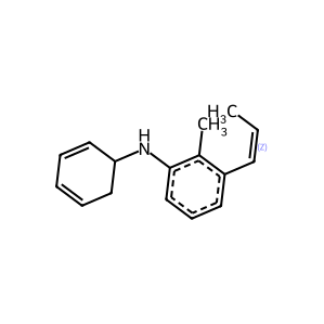 C/C=C\c1cccc(NC2C=CC=CC2)c1C